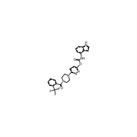 O=C(Nc1cccc2[nH]ccc12)Oc1ccc(N2CCN(C(=O)c3ccccc3C(F)(F)F)CC2)nn1